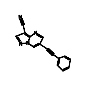 N#Cc1cnn2cc(C#Cc3ccccc3)cnc12